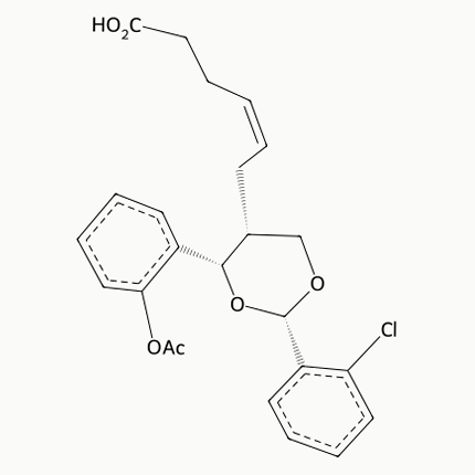 CC(=O)Oc1ccccc1[C@H]1O[C@@H](c2ccccc2Cl)OC[C@H]1C/C=C\CCC(=O)O